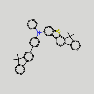 CC1(C)c2ccccc2-c2ccc(-c3ccc(N(c4ccccc4)c4ccc5sc6c7c(ccc6c5c4)-c4ccccc4C7(C)C)cc3)cc21